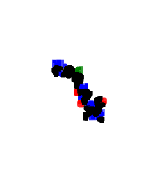 CCc1nc2c(cnn2CC)c(NC2CCOCC2)c1CNC(=O)c1cccc(C(=O)NCc2ccc(Cl)c(-c3cccc(CN4CC[C@H](N)C4)c3)c2)n1